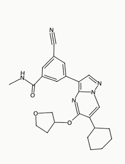 CNC(=O)c1cc(C#N)cc(-c2cnn3cc(C4CCCCC4)c(OC4CCOC4)nc23)c1